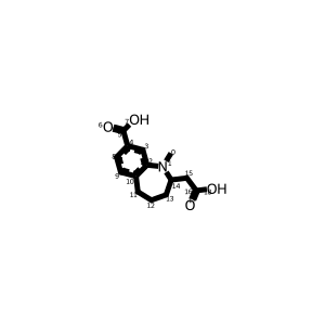 CN1c2cc(C(=O)O)ccc2CCCC1CC(=O)O